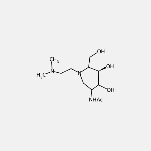 CC(=O)NC1CN(CCN(C)C)C(CO)[C@@H](O)C1O